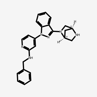 c1ccc(CNc2cc(-n3nc(N4C[C@@H]5C[C@H]4CN5)c4ccccc43)ccn2)cc1